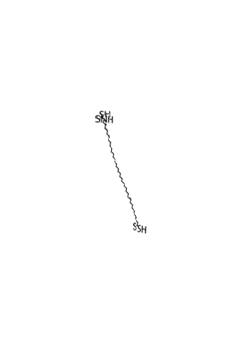 S=C(S)CCCCCCCCCCCCCCCCCCCCCCCCCCCCCCCCCCCCCCNC(=S)S